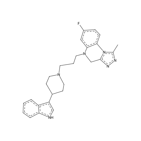 Cc1nnc2n1-c1ccc(F)cc1N(CCCN1CCC(c3c[nH]c4ccccc34)CC1)C2